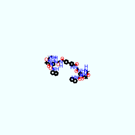 CN[C@@H](C)C(=O)N[C@H](C(=O)N1C[C@@H](NC(=O)CNC(=O)c2ccc(C3=CC=C(C(=O)NCC(=O)N[C@H]4C[C@@H](C(=O)N[C@@H]5CCCc6ccccc65)N(C(=O)[C@@H](NC(=O)[C@H](C)NC)C(C)(C)C)C4)CC3)cc2)C[C@H]1C(=O)N[C@@H]1CCCC2=C1CCC=C2)C(C)(C)C